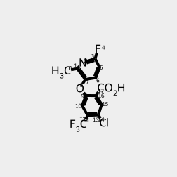 Cc1nc(F)ccc1Oc1cc(C(F)(F)F)c(Cl)cc1C(=O)O